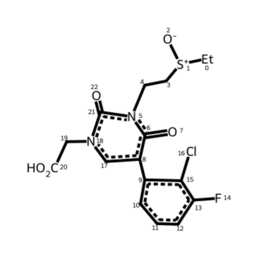 CC[S+]([O-])CCn1c(=O)c(-c2cccc(F)c2Cl)cn(CC(=O)O)c1=O